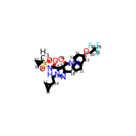 CC1(S(=O)(=O)NC(=O)c2c3c(nn2CCC2CC2)C[C@]2(CCc4cc(OCC(F)(F)F)ccc42)NC3=O)CC1